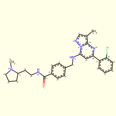 Bc1cnn2c(NCc3ccc(C(=O)NCCC4CCCN4C)cc3)cc(-c3ccccc3F)nc12